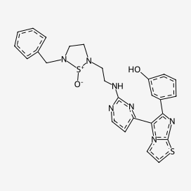 [O-][S+]1N(CCNc2nccc(-c3c(-c4cccc(O)c4)nc4sccn34)n2)CCN1Cc1ccccc1